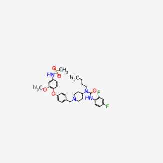 CCCCN(C(=O)Nc1ccc(F)cc1F)C1CCN(Cc2ccc(Oc3ccc(NS(C)(=O)=O)cc3OC)cc2)CC1